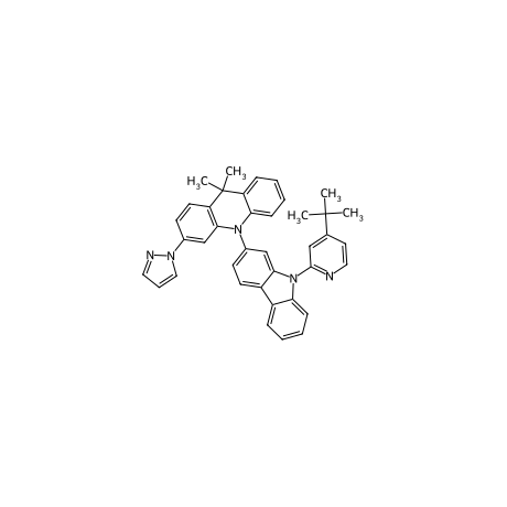 CC(C)(C)c1ccnc(-n2c3ccccc3c3ccc(N4c5ccccc5C(C)(C)c5ccc(-n6cccn6)cc54)cc32)c1